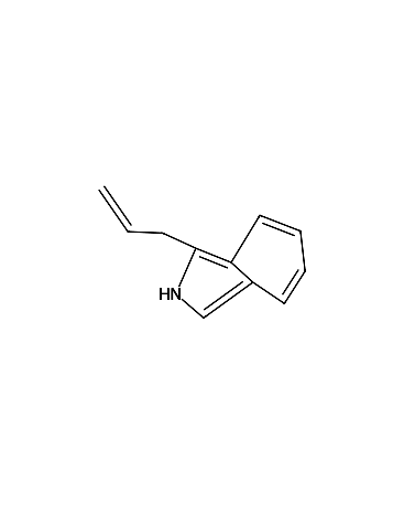 C=CCc1[nH]cc2ccccc12